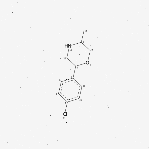 CC1COC(c2ccc(Cl)cc2)CN1